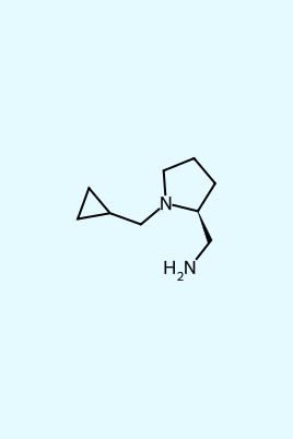 NC[C@@H]1CCCN1CC1CC1